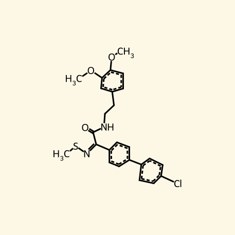 COc1ccc(CCNC(=O)/C(=N\SC)c2ccc(-c3ccc(Cl)cc3)cc2)cc1OC